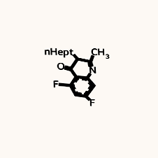 CCCCCCCC1C(=O)c2c(F)cc(F)cc2N=C1C